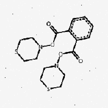 O=C(ON1CCSCC1)c1ccccc1C(=O)ON1CCSCC1